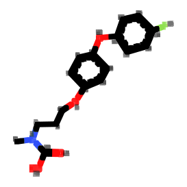 CN(CCCOc1ccc(Oc2ccc(F)cc2)cc1)C(=O)O